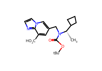 C[C@@H](C1CCC1)N(Cc1cc(C(=O)O)c2nccn2c1)C(=O)OC(C)(C)C